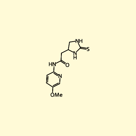 COc1ccc(NC(=O)CC2CNC(=S)N2)nc1